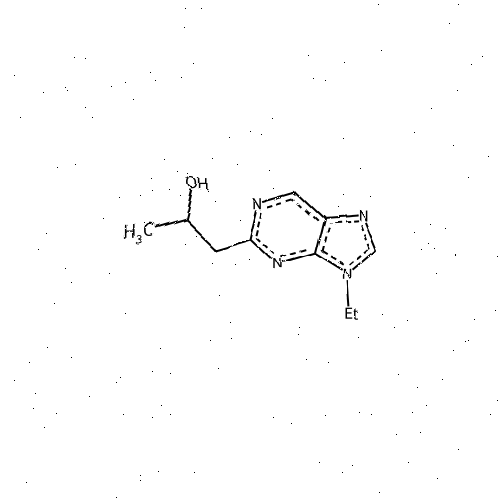 CCn1cnc2cnc(CC(C)O)nc21